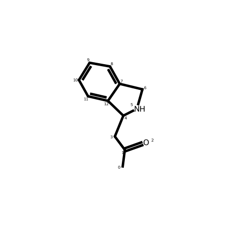 CC(=O)CC1NCc2ccccc21